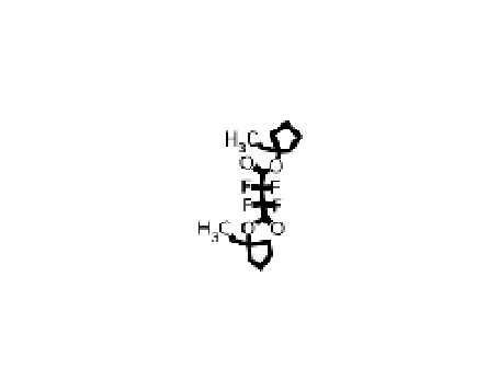 CCC1(OC(=O)C(F)(F)C(F)(F)C(=O)OC2(CC)CCCC2)CCCC1